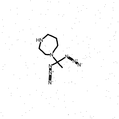 CC(N=[N+]=[N-])(N=[N+]=[N-])N1CCCNCC1